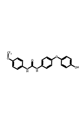 O=C(Nc1ccc(Oc2ccc(O)cc2)cc1)Nc1ccc(OC(F)(F)F)cc1